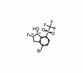 O=S(=O)(c1ccc(Br)c2c1[C@H](O)[C@H](F)C2)C(F)(F)F